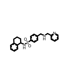 O=S(=O)(NC1CCCc2ccccc21)c1ccc(CNCc2ccccn2)cc1